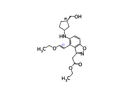 CCO/C=C/c1c(NC2CC[C@@H](CO)C2)ccc2onc(CC(=O)OCC)c12